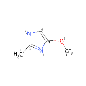 CC1=NC(OC(F)(F)F)=C[N]1